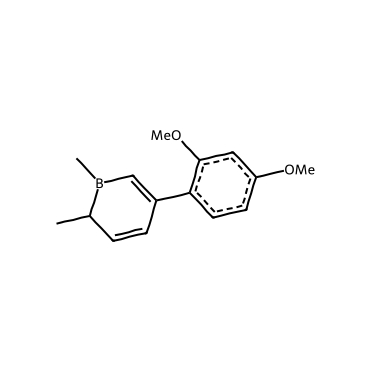 COc1ccc(C2=CB(C)C(C)C=C2)c(OC)c1